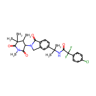 BC1C(N2Cc3cc(C(B)(B)NC(=O)C(F)(F)c4ccc(Cl)cc4)ccc3C2=O)C(=O)N(B)C(=O)C1(B)B